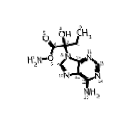 CCC(O)(C(=O)ON)n1cnc2c(N)ncnc21